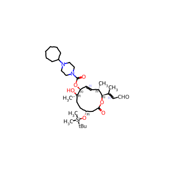 C/C(=C\C=O)[C@H]1OC(=O)C[C@H](O[Si](C)(C)C(C)(C)C)CC[C@@](C)(O)[C@@H](OC(=O)N2CCN(C3CCCCCC3)CC2)/C=C/[C@@H]1C